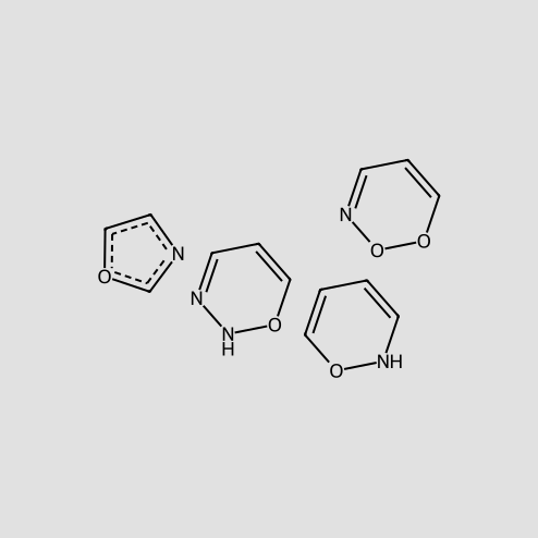 C1=CNOC=C1.C1=CONN=C1.C1=COON=C1.c1cocn1